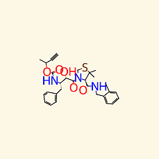 C#CC(C)OC(=O)N[C@@H](Cc1ccccc1)[C@H](O)C(=O)N1CSC(C)(C)[C@H]1C(=O)NCc1ccccc1C